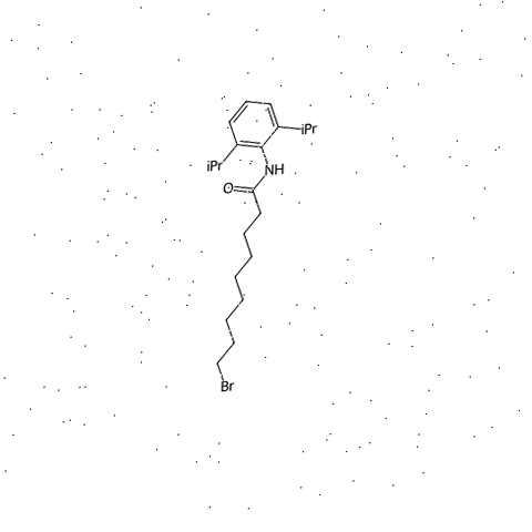 CC(C)c1cccc(C(C)C)c1NC(=O)CCCCCCCCBr